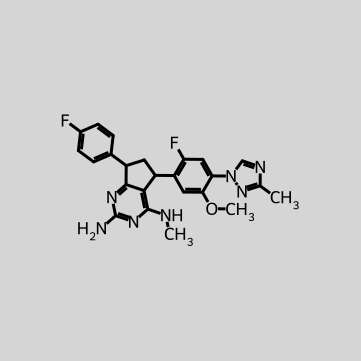 CNc1nc(N)nc2c1C(c1cc(OC)c(-n3cnc(C)n3)cc1F)CC2c1ccc(F)cc1